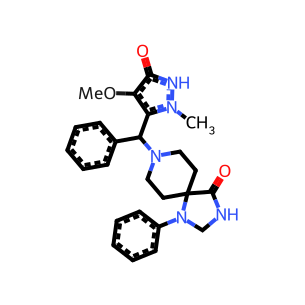 COc1c(C(c2ccccc2)N2CCC3(CC2)C(=O)NCN3c2ccccc2)n(C)[nH]c1=O